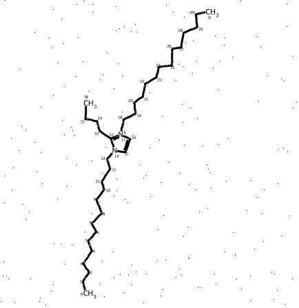 CCCCCCCCCCCCCCn1cc[n+](CCCCCCCCCCCCCC)c1CCCC